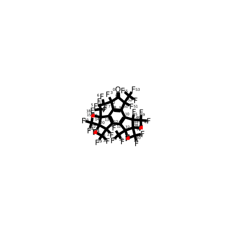 O=C1C(F)(C(F)(F)F)c2c(c3c(c4c2C(F)(C(F)(F)F)C(F)(C(F)(F)F)C4(F)C(F)(F)F)C(F)(C(F)(F)F)C(F)(C(F)(F)F)C3(F)C(F)(F)F)C1(F)C(F)(F)F